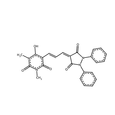 Cn1c(O)c(C=CC=C2C(=O)N(c3ccccc3)N(c3ccccc3)C2=O)c(=O)n(C)c1=O